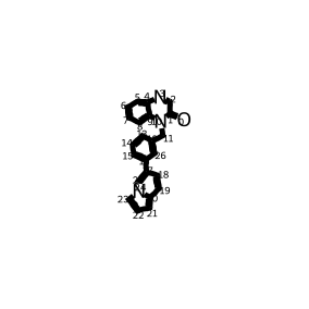 O=c1cnc2ccccc2n1Cc1cccc(-c2ccc3cccn3c2)c1